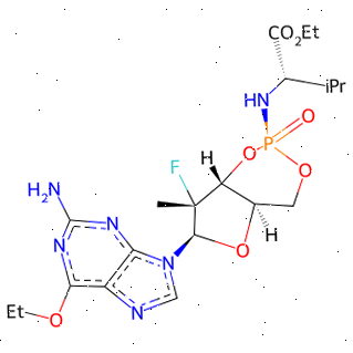 CCOC(=O)[C@@H](N[P@@]1(=O)OC[C@H]2O[C@@H](n3cnc4c(OCC)nc(N)nc43)[C@](C)(F)[C@@H]2O1)C(C)C